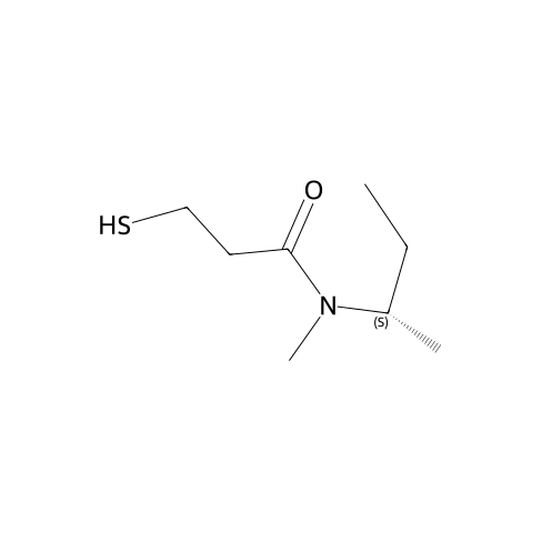 CC[C@H](C)N(C)C(=O)CCS